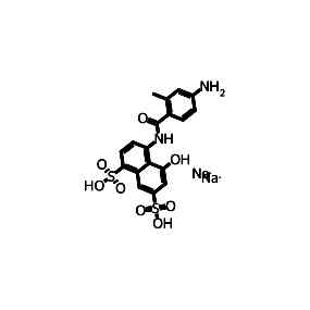 Cc1cc(N)ccc1C(=O)Nc1ccc(S(=O)(=O)O)c2cc(S(=O)(=O)O)cc(O)c12.[Na].[Na]